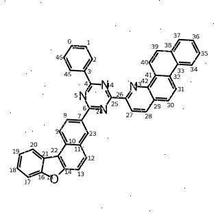 c1ccc(-c2nc(-c3ccc4c(ccc5oc6ccccc6c54)c3)nc(-c3ccc4ccc5c6ccccc6ccc5c4n3)n2)cc1